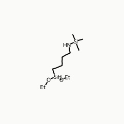 CCO[SiH](CCCCN[Si](C)(C)C)OCC